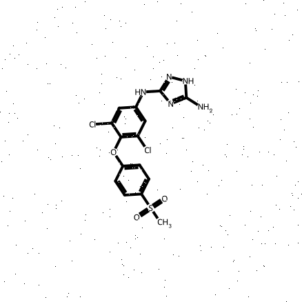 CS(=O)(=O)c1ccc(Oc2c(Cl)cc(Nc3n[nH]c(N)n3)cc2Cl)cc1